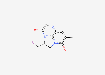 Cc1cc2ncc(=O)n3c2n(c1=O)CC3CI